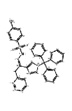 Cc1ccc(S(=O)(=O)NN=C(Cc2cccnn2)c2cn(C(c3ccccc3)(c3ccccc3)c3ccccc3)cn2)cc1